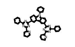 c1ccc(-c2nc(-c3ccc4c(c3)c3cc(-c5nc(-c6ccccc6)nc(-c6ccccn6)n5)ccc3n4-c3ccccc3)nc(-c3ccccn3)n2)cc1